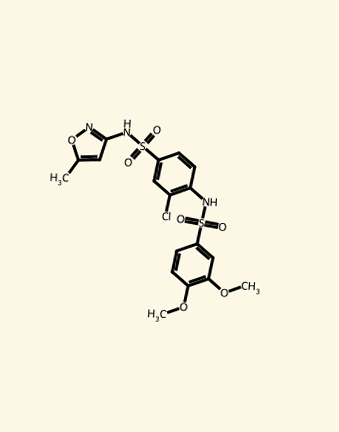 COc1ccc(S(=O)(=O)Nc2ccc(S(=O)(=O)Nc3cc(C)on3)cc2Cl)cc1OC